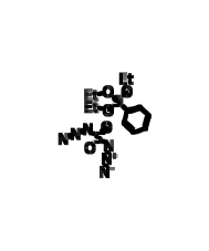 CCO[Si](OCC)(OCC)c1ccccc1.[N-]=[N+]=NS(=O)(=O)N=[N+]=[N-]